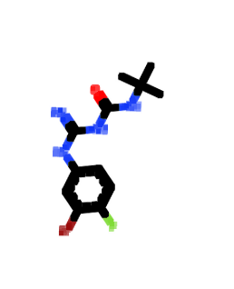 CC(C)(C)NC(=O)NC(=N)Nc1ccc(F)c(Br)c1